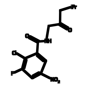 CC(C)CC(=O)CNC(=O)c1cc([N+](=O)[O-])cc(F)c1Cl